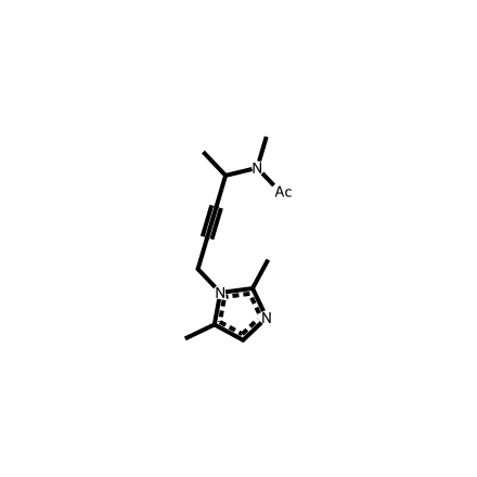 CC(=O)N(C)C(C)C#CCn1c(C)cnc1C